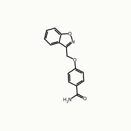 NC(=O)c1ccc(OCc2noc3ccccc23)cc1